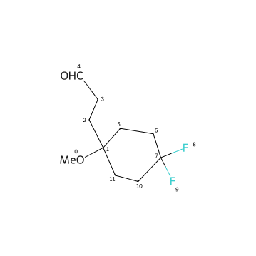 COC1(CCC=O)CCC(F)(F)CC1